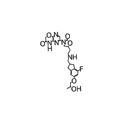 CC(O)COc1cc(F)c2c(c1)CC(CNCCC1CN(c3cnc4c(n3)NC(=O)CO4)C(=O)O1)C2